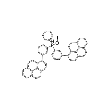 IO[PH](c1ccccc1)(c1cccc(-c2ccc3ccc4cccc5ccc2c3c45)c1)c1cccc(-c2ccc3ccc4cccc5ccc2c3c45)c1